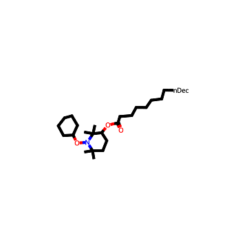 CCCCCCCCCCCCCCCCCC(=O)OC1CCC(C)(C)N(OC2CCCCC2)C1(C)C